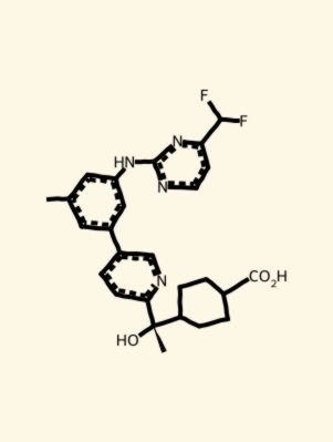 Cc1cc(Nc2nccc(C(F)F)n2)cc(-c2ccc([C@@](C)(O)C3CCC(C(=O)O)CC3)nc2)c1